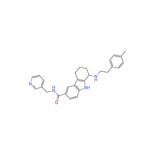 Cc1ccc(CCNC2CCCc3c2[nH]c2ccc(C(=O)NCc4cccnc4)cc32)cc1